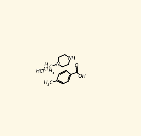 CN1CCNCC1.Cc1ccc(C(=O)O)cc1.Cl.Cl